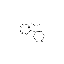 CC(S)C1(c2ccccc2)CCOCC1